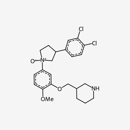 COc1ccc([N+]2([O-])CCC(c3ccc(Cl)c(Cl)c3)C2)cc1OCC1CCCNC1